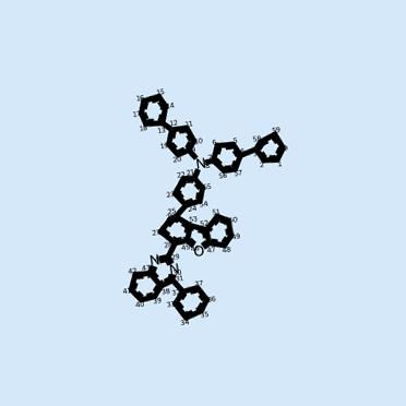 c1ccc(-c2ccc(N(c3ccc(-c4ccccc4)cc3)c3ccc(-c4ccc(-c5nc(-c6ccccc6)c6ccccc6n5)c5oc6ccccc6c45)cc3)cc2)cc1